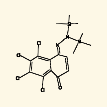 C[Si](C)(C)N(N=C1C=CC(=O)c2c(Cl)c(Cl)c(Cl)c(Cl)c21)[Si](C)(C)C